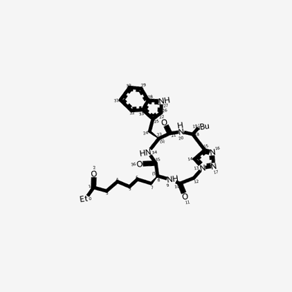 CCC(=O)CCCCC[C@@H]1NC(=O)Cn2cc(nn2)C(C(C)CC)NC(=O)[C@H](Cc2c[nH]c3ccccc23)NC1=O